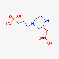 O=C(O)OC1CN(CCCP(=O)(O)O)CCN1